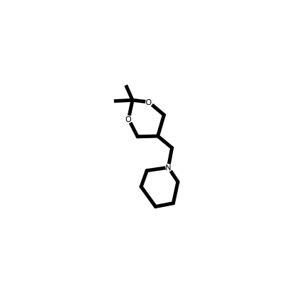 CC1(C)OCC(CN2CCCCC2)CO1